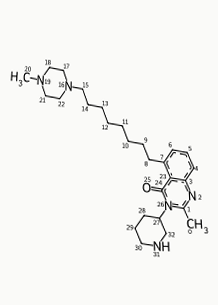 Cc1nc2cccc(CCCCCCCCN3CCN(C)CC3)c2c(=O)n1C1CCCNC1